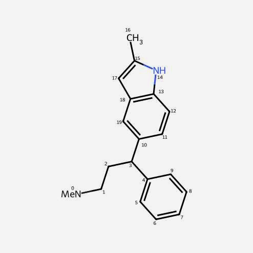 CNCCC(c1ccccc1)c1ccc2[nH]c(C)cc2c1